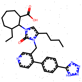 CCCCc1cn(C2C(CC)CCCCC2C(=O)O)c(=O)n1Cc1cnccc1-c1ccc(-c2nnn[nH]2)cc1